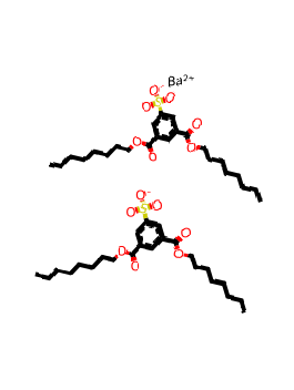 CCCCCCCCOC(=O)c1cc(C(=O)OCCCCCCCC)cc(S(=O)(=O)[O-])c1.CCCCCCCCOC(=O)c1cc(C(=O)OCCCCCCCC)cc(S(=O)(=O)[O-])c1.[Ba+2]